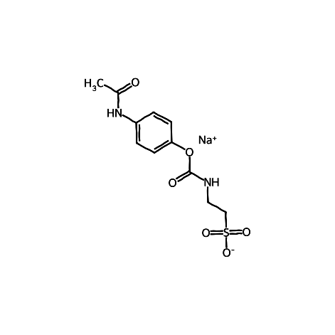 CC(=O)Nc1ccc(OC(=O)NCCS(=O)(=O)[O-])cc1.[Na+]